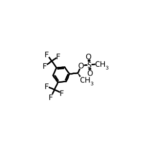 C[C@H](OS(C)(=O)=O)c1cc(C(F)(F)F)cc(C(F)(F)F)c1